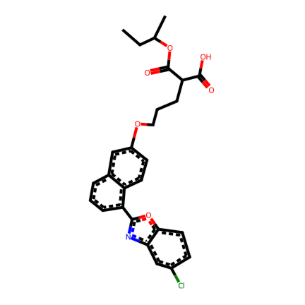 CCC(C)OC(=O)C(CCCOc1ccc2c(-c3nc4cc(Cl)ccc4o3)cccc2c1)C(=O)O